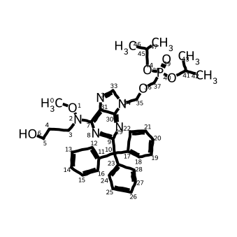 CON(CCCO)c1nc(C(c2ccccc2)(c2ccccc2)c2ccccc2)nc2c1ncn2COCP(=O)(OC(C)C)OC(C)C